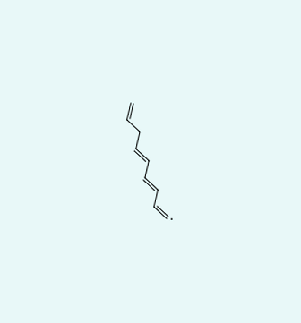 [CH]=CC=CC=CCC=C